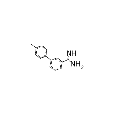 Cc1ccc(-c2cccc(C(=N)N)c2)cc1